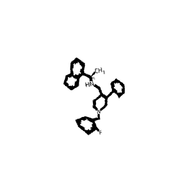 C[C@@H](NCC1CCN(Cc2ccccc2F)CC1c1ccccc1)c1cccc2ccccc12